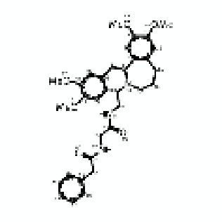 COc1ccc(CC2c3cc(OC)c(OC)cc3CCCN2CCNC(=O)CNC(=O)Cc2ccccc2)cc1OC